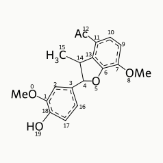 COc1cc(C2Oc3c(OC)ccc(C(C)=O)c3C2C)ccc1O